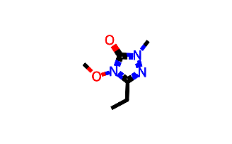 CCc1nn(C)c(=O)n1OC